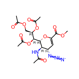 COC(=O)C1=C[C@H](N=[N+]=[N-])[C@@H](NC(C)=O)[C@H]([C@@H](OC(C)=O)[C@@H](COC(C)=O)OC(C)=O)O1